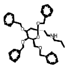 CCCNCC[C@@]1(OCc2ccccc2)CC(OCc2ccccc2)C(OCc2ccccc2)C(COCc2ccccc2)O1